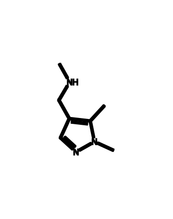 CNCc1cnn(C)c1C